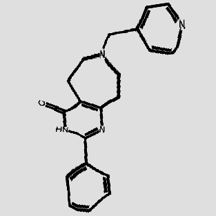 O=c1[nH]c(-c2ccccc2)nc2c1CCN(Cc1ccncc1)CC2